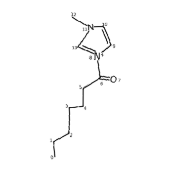 CCCCCCC(=O)[n+]1ccn(C)c1